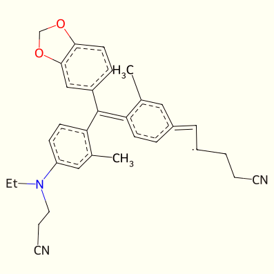 CCN(CCC#N)c1ccc(C(c2ccc3c(c2)OCO3)=c2ccc(=C[CH]CCC#N)cc2C)c(C)c1